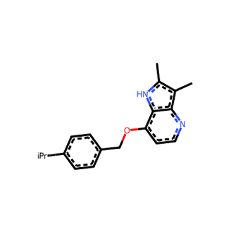 Cc1[nH]c2c(OCc3ccc(C(C)C)cc3)ccnc2c1C